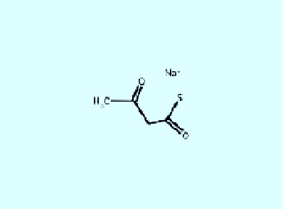 CC(=O)CC(=O)[S-].[Na+]